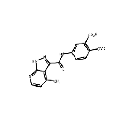 COc1ccc(NC(=O)c2n[nH]c3nccc(C)c23)cc1C(=O)O